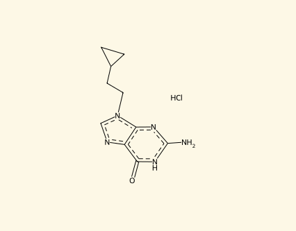 Cl.Nc1nc2c(ncn2CCC2CC2)c(=O)[nH]1